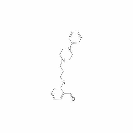 O=Cc1ccccc1SCCCN1CCN(c2ccccc2)CC1